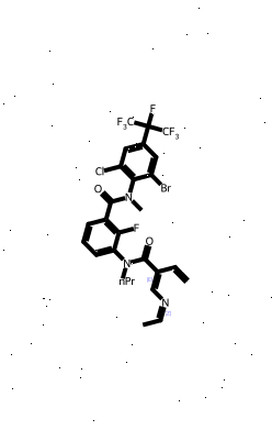 C=C/C(=C\N=C/C)C(=O)N(CCC)c1cccc(C(=O)N(C)c2c(Cl)cc(C(F)(C(F)(F)F)C(F)(F)F)cc2Br)c1F